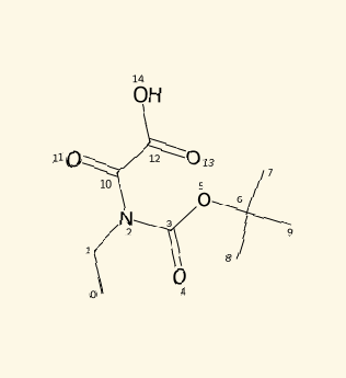 CCN(C(=O)OC(C)(C)C)C(=O)C(=O)O